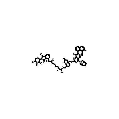 C#Cc1c(F)ccc2cccc(-c3ncc4c(N5CC6CCC(C5)N6)nc(OCC56CCC(COC(=O)N(C)CCCCC(=O)Nc7cccc8c7C(=O)N(C7CCC(=O)NC7=O)C8=O)N5CC(=C)C6)nc4c3F)c12